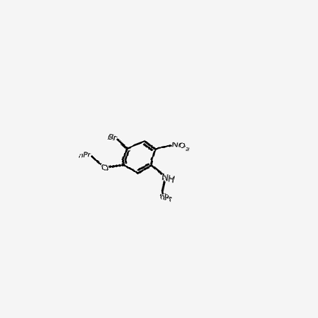 CCCNc1cc(OCCC)c(Br)cc1[N+](=O)[O-]